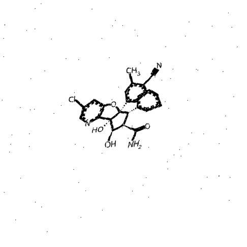 Cc1cc([C@@]23Oc4cc(Cl)cnc4[C@]2(O)[C@H](O)[C@H](C(N)=O)[C@H]3c2ccccc2)ccc1C#N